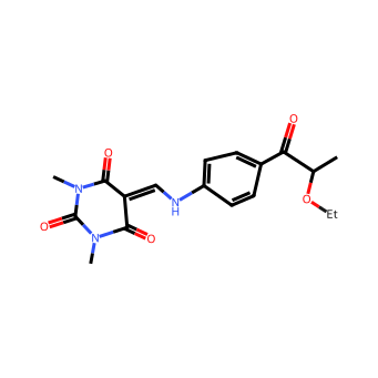 CCOC(C)C(=O)c1ccc(NC=C2C(=O)N(C)C(=O)N(C)C2=O)cc1